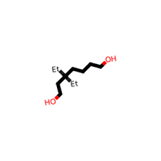 CCC(CC)(CCO)CCCCO